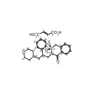 O=C(O)C=CC(=O)O.O=C1c2ccccc2CS(=O)(=O)N1CC(CN1CCOCC1)c1ccccc1